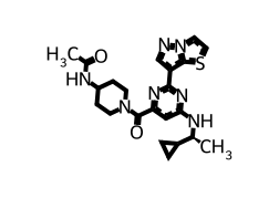 CC(=O)NC1CCN(C(=O)c2cc(N[C@@H](C)C3CC3)nc(-c3cnn4ccsc34)n2)CC1